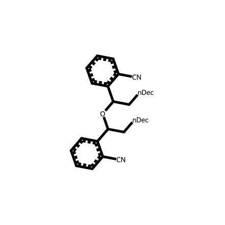 CCCCCCCCCCCC(OC(CCCCCCCCCCC)c1ccccc1C#N)c1ccccc1C#N